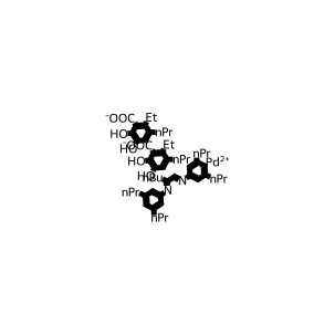 CCCCC(C=Nc1cc(CCC)cc(CCC)c1)=Nc1cc(CCC)cc(CCC)c1.CCCc1cc(O)c(O)c(C(=O)[O-])c1CC.CCCc1cc(O)c(O)c(C(=O)[O-])c1CC.[Pd+2]